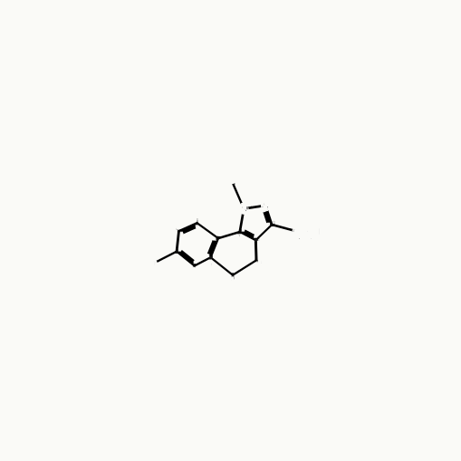 Cn1nc(C(=O)O)c2c1-c1ccc(O)cc1CC2